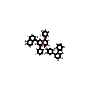 c1ccc(-c2ccc(N(c3ccc(-c4cccc5sc6ccccc6c45)cc3)c3ccccc3-c3cccc(-c4cccc5ccccc45)c3)cc2)cc1